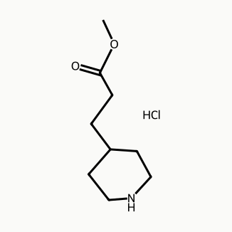 COC(=O)CCC1CCNCC1.Cl